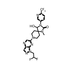 CN1C(=O)N(c2ccc(C(F)(F)F)nc2)C(O)C12CCN(c1cnc3cnn(CC(F)F)c3n1)CC2